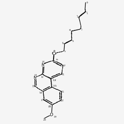 CCCCCCCCOc1ccc2c(ncc3cc(OC)ccc32)n1